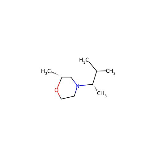 CC(C)[C@H](C)N1CCO[C@H](C)C1